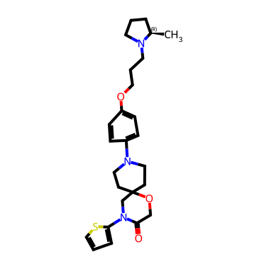 C[C@@H]1CCCN1CCCOc1ccc(N2CCC3(CC2)CN(c2cccs2)C(=O)CO3)cc1